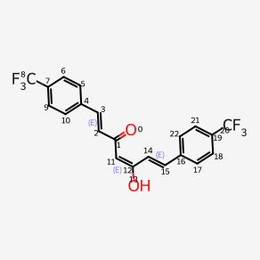 O=C(/C=C/c1ccc(C(F)(F)F)cc1)/C=C(O)\C=C\c1ccc(C(F)(F)F)cc1